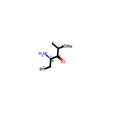 CSC(C)C(=O)[C@H](N)CC(C)C